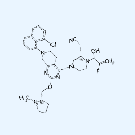 C=C(F)C(O)N1CCN(c2nc(OC[C@@H]3CCCN3C)nc3c2CCN(c2cccc4cccc(Cl)c24)C3)C[C@@H]1CC#N